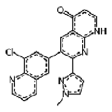 Cn1ccc(-c2nc3[nH]ccc(=O)c3cc2-c2cc(Cl)c3ncccc3c2)n1